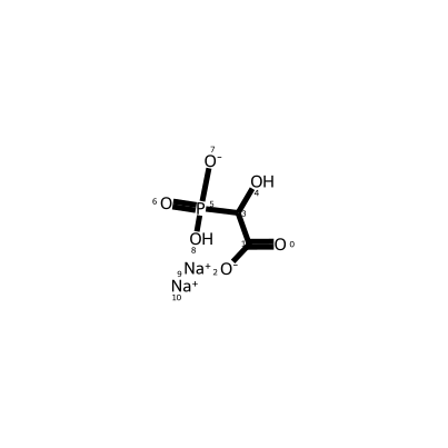 O=C([O-])C(O)P(=O)([O-])O.[Na+].[Na+]